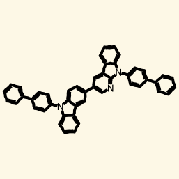 c1ccc(-c2ccc(-n3c4ccccc4c4cc(-c5cnc6c(c5)c5ccccc5n6-c5ccc(-c6ccccc6)cc5)ccc43)cc2)cc1